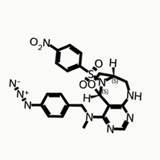 CN(Cc1ccc(N=[N+]=[N-])cc1)c1ncnc2c1[C@@H]1OC[C@H](CN2)N1S(=O)(=O)c1ccc([N+](=O)[O-])cc1